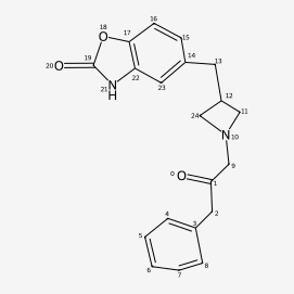 O=C(Cc1ccccc1)CN1CC(Cc2ccc3oc(=O)[nH]c3c2)C1